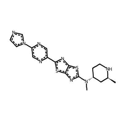 C[C@H]1C[C@H](N(C)c2nc3sc(-c4cnc(-n5ccnc5)cn4)nc3s2)CCN1